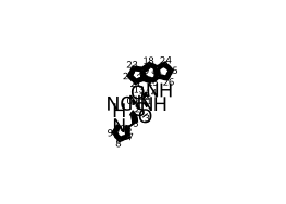 N#CN=S(=O)(/C=C/[C@H]1CCCN1)NC(=O)Nc1c2c(cc3c1CCC3)CCC2